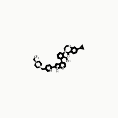 O=C1c2ccc(C3CC3)cc2OCCN1c1cccc(-c2ccnc3[nH]c(-c4ccc(CN5CCN(CC(F)(F)F)CC5)cn4)cc23)c1CO